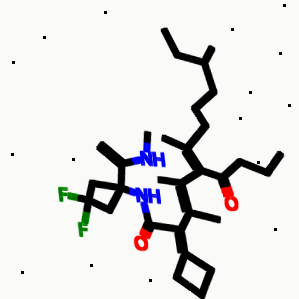 C=C(NC)C1(NC(=O)C(=C2CCC2)/C(C)=C(C)/C(C(=O)CCC)=C(\C)CCCC(C)CC)CC(F)(F)C1